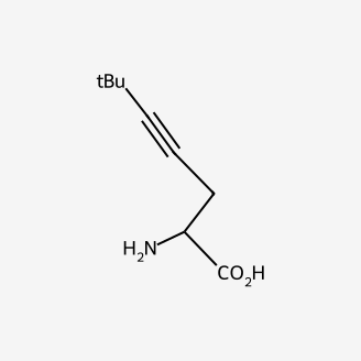 CC(C)(C)C#CCC(N)C(=O)O